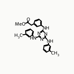 COC(=O)Cc1cccc(Nc2nc(Nc3cccc(C)c3)nc(Nc3cccc(C)c3)n2)c1